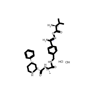 CC(C)[C@H](N)C(=O)O/N=C(\N)c1ccc(CNC(=O)[C@H](C)NC(=O)[C@H]2C[C@@H](c3ccccc3)CCN2)cc1.Cl.Cl